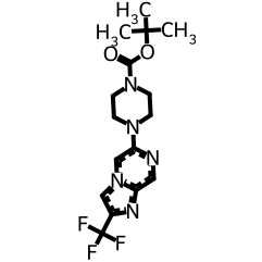 CC(C)(C)OC(=O)N1CCN(c2cn3cc(C(F)(F)F)nc3cn2)CC1